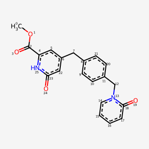 COC(=O)c1cc(Cc2ccc(Cn3ccccc3=O)cc2)cc(=O)[nH]1